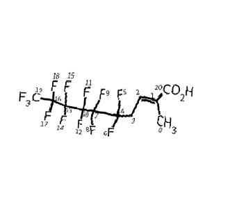 CC(=CCC(F)(F)C(F)(F)C(F)(F)C(F)(F)C(F)(F)C(F)(F)F)C(=O)O